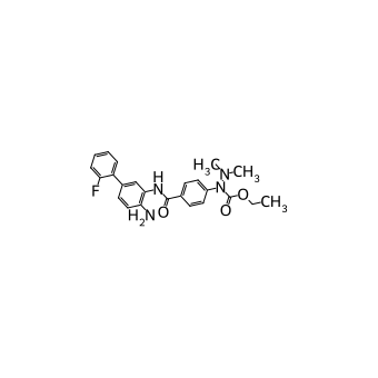 CCOC(=O)N(c1ccc(C(=O)Nc2cc(-c3ccccc3F)ccc2N)cc1)N(C)C